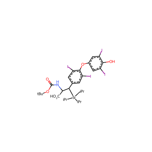 CC(C)[Si](C(C)C)(C(C)C)C(c1cc(I)c(Oc2cc(I)c(O)c(I)c2)c(I)c1)C(NC(=O)OC(C)(C)C)C(=O)O